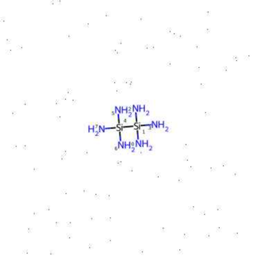 N[Si](N)(N)[Si](N)(N)N